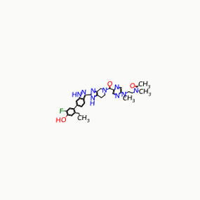 CCc1cc(O)c(F)cc1-c1ccc2c(-c3nc4c([nH]3)CCN(C(=O)c3cnc(N(C)CCN(C)C(C)=O)cn3)C4)n[nH]c2c1